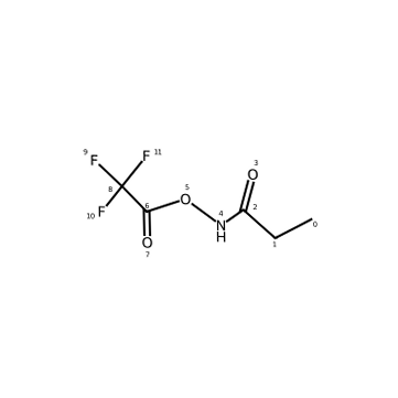 CCC(=O)NOC(=O)C(F)(F)F